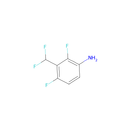 Nc1ccc(F)c(C(F)F)c1F